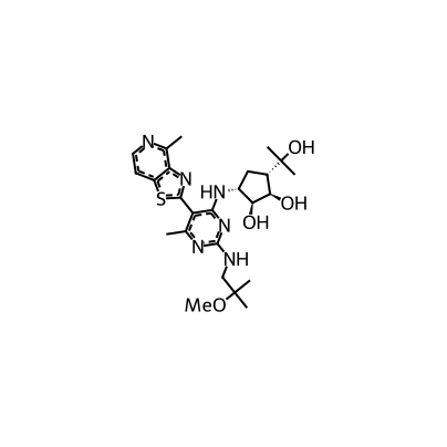 COC(C)(C)CNc1nc(C)c(-c2nc3c(C)nccc3s2)c(N[C@@H]2C[C@H](C(C)(C)O)[C@@H](O)[C@H]2O)n1